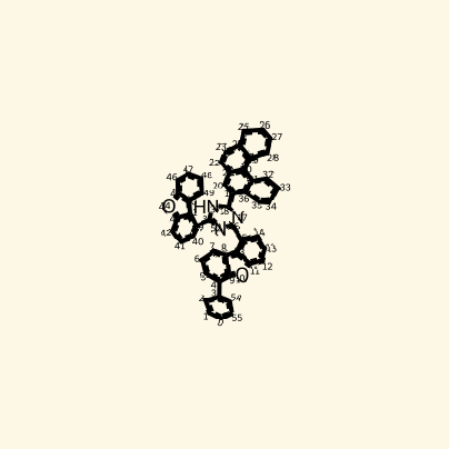 c1ccc(-c2cccc3c2oc2cccc(C4=NC(c5cc6ccc7ccccc7c6c6ccccc56)NC(c5cccc6oc7ccccc7c56)=N4)c23)cc1